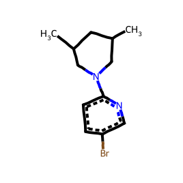 CC1CC(C)CN(c2ccc(Br)cn2)C1